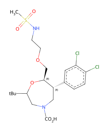 CC(C)(C)C1CN(C(=O)O)C[C@@H](c2ccc(Cl)c(Cl)c2)[C@H](COCCNS(C)(=O)=O)O1